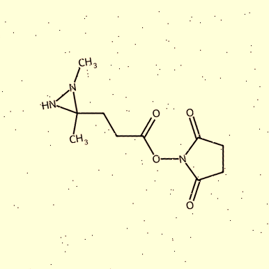 CN1NC1(C)CCC(=O)ON1C(=O)CCC1=O